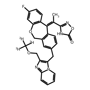 [2H]C([2H])([2H])OCc1nc2ccccn2c1Cc1ccc2c(c1)COc1cc(F)ccc1/C2=C(\C)c1noc(=O)[nH]1